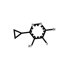 CC(C)c1c(C2CC2)nnc(Br)c1F